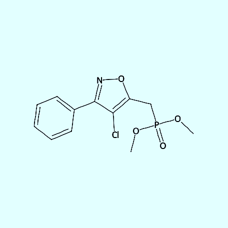 COP(=O)(Cc1onc(-c2ccccc2)c1Cl)OC